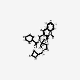 Cn1c(=O)c(CN(C(=O)C2CCCCC2)C2(C)CCN(CC3CCC3)C2)cc2ccccc21